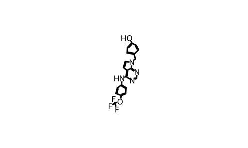 Oc1ccc(Cn2ccc3c(Nc4ccc(OC(F)(F)F)cc4)ncnc32)cc1